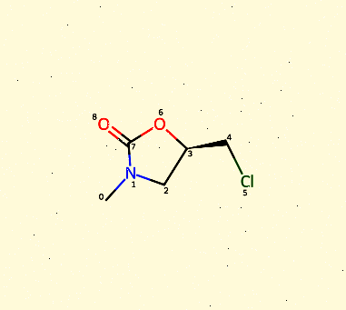 CN1C[C@H](CCl)OC1=O